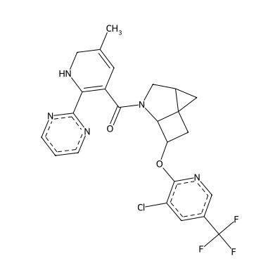 CC1=CC(C(=O)N2CC3CC34CC(Oc3ncc(C(F)(F)F)cc3Cl)C24)=C(c2ncccn2)NC1